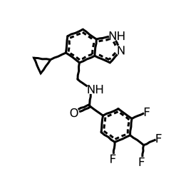 O=C(NCc1c(C2CC2)ccc2[nH]ncc12)c1cc(F)c(C(F)F)c(F)c1